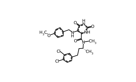 COc1ccc(CNc2c(C(=O)N(C)[C@H](C)CCc3ccc(Cl)c(Cl)c3)[nH]c(=O)[nH]c2=O)cc1